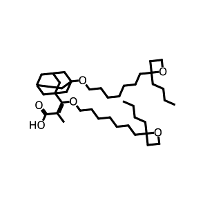 CCCCC1(CCCCCCCOC(=C(C)C(=O)O)C23CC4CC(CC(OCCCCCCCC5(CCCC)CCO5)(C4)C2)C3)CCO1